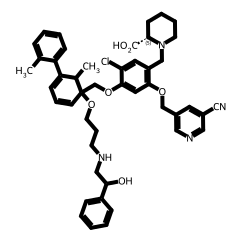 Cc1ccccc1C1=CC=CC(COc2cc(OCc3cncc(C#N)c3)c(CN3CCCC[C@H]3C(=O)O)cc2Cl)(OCCCNCC(O)c2ccccc2)C1C